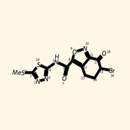 CSc1nnc(NC(=O)c2onc3c2CCC(Br)C3=O)s1